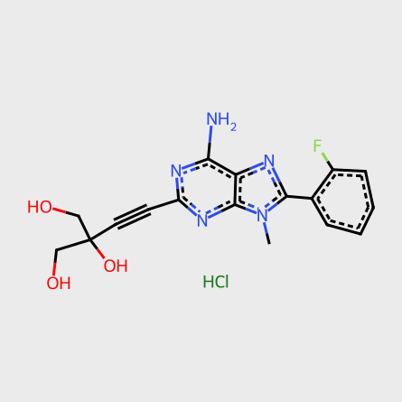 Cl.Cn1c(-c2ccccc2F)nc2c(N)nc(C#CC(O)(CO)CO)nc21